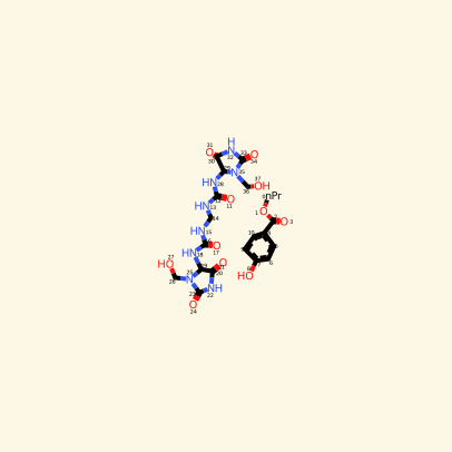 CCCOC(=O)c1ccc(O)cc1.O=C(NCNC(=O)NC1C(=O)NC(=O)N1CO)NC1C(=O)NC(=O)N1CO